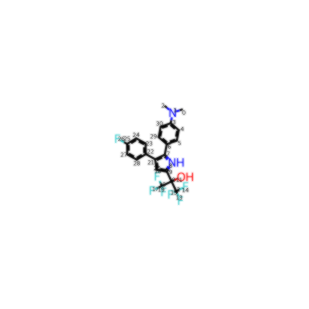 CN(C)c1ccc(-c2[nH]c(C(O)(C(F)(F)F)C(F)(F)F)cc2-c2ccc(F)cc2)cc1